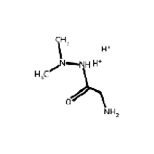 CN(C)NC(=O)CN.[H+].[H+]